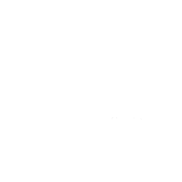 CC=CCC=CCCCCCCCC.CCCCCCCCC=CCCCCCCCO